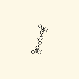 CC1CCCC2(C)C1c1cc(-c3ccc4c(c3)C(C)(C)c3cc(-c5ccc6c(c5)C5C(C)CCCC5(C)N6c5ccccc5)ccc3-4)ccc1N2c1ccccc1